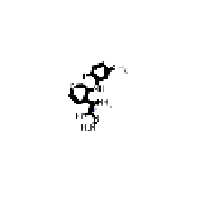 CC/C(NN)=C(/N)c1ccncc1Nc1cc(C)ccc1F